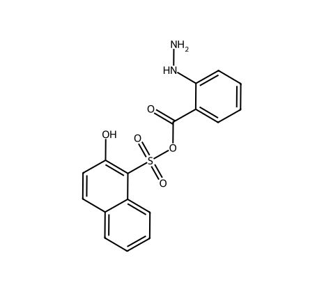 NNc1ccccc1C(=O)OS(=O)(=O)c1c(O)ccc2ccccc12